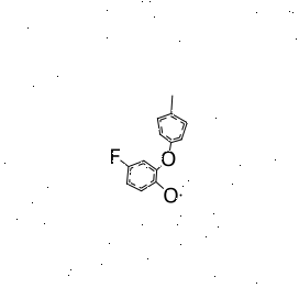 Cc1ccc(Oc2cc(F)ccc2[O])cc1